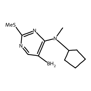 Bc1cnc(SC)nc1N(C)C1CCCC1